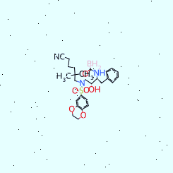 BC(=O)N[C@@H](Cc1ccccc1)[C@H](O)CN(CC(C)(C)CCCC#N)S(=O)(=O)c1ccc2c(c1)OCCO2